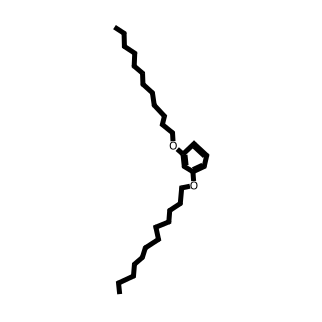 CCCCCCCCCCCCOc1[c]ccc(OCCCCCCCCCCCC)c1